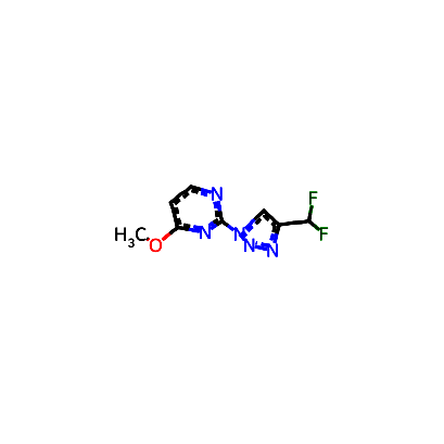 COc1ccnc(-n2cc(C(F)F)nn2)n1